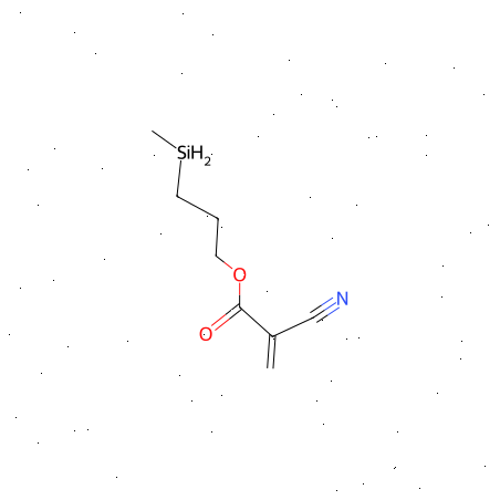 C=C(C#N)C(=O)OCCC[SiH2]C